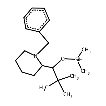 C[SiH](C)OC(C1CCCCN1Cc1ccccc1)C(C)(C)C